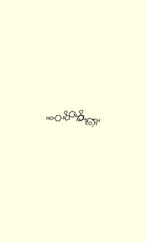 C#CCN(C(=O)O)c1cnc(N2CCCC3(CCN([C@H]4CC[C@H](O)CC4)C3=O)C2)c(Cl)c1